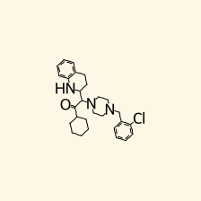 O=C(C1CCCCC1)C(C1CCc2ccccc2N1)N1CCN(Cc2ccccc2Cl)CC1